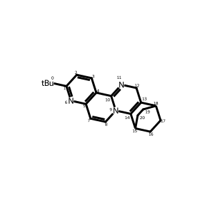 CC(C)(C)c1ccc2c(n1)C=CN1C2=NCC2=C1C1CCC2CC1